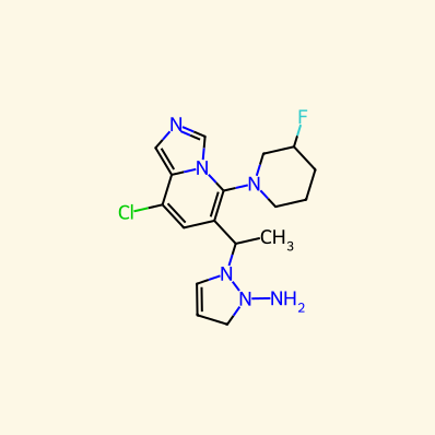 CC(c1cc(Cl)c2cncn2c1N1CCCC(F)C1)N1C=CCN1N